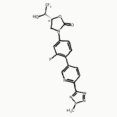 Cn1nnc(-c2ccc(-c3ccc(N4C[C@H](C(O)C(F)(F)F)OC4=O)cc3F)cn2)n1